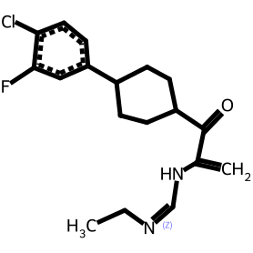 C=C(N/C=N\CC)C(=O)C1CCC(c2ccc(Cl)c(F)c2)CC1